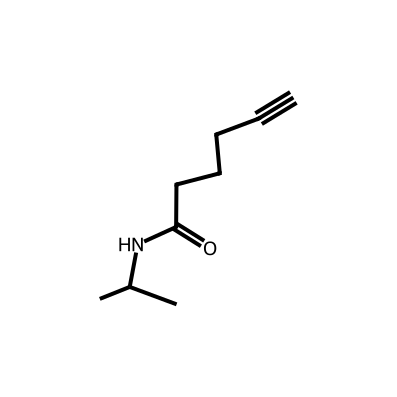 C#CCCCC(=O)NC(C)C